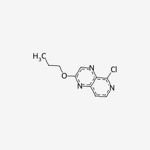 CCCOc1cnc2c(Cl)nccc2n1